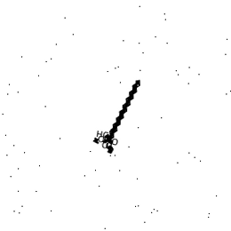 CCCCCCCCCCCCCCCC=CCC(O)(C(=O)OCC)C(=O)OCC